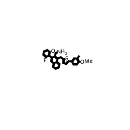 COc1ccc(-c2ccc(Cc3c(C(N)=O)c(-c4ccccc4F)cc4ccccc34)s2)cc1C